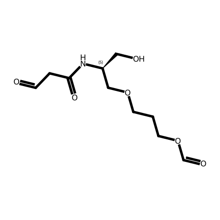 O=CCC(=O)N[C@@H](CO)COCCCOC=O